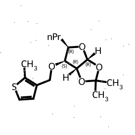 CCC[C@H]1O[C@@H]2OC(C)(C)O[C@@H]2[C@H]1OCc1ccsc1C